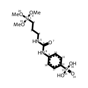 CO[Si](CCCNC(=O)Nc1ccc(P(=O)(O)O)cc1)(OC)OC